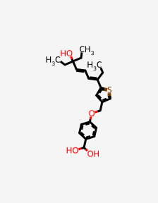 CCC(=CC=CC(O)(CC)CC)c1cc(COc2ccc(C(O)O)cc2)cs1